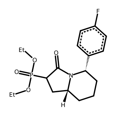 CCOP(=O)(OCC)C1C[C@H]2CCC[C@@H](c3ccc(F)cc3)N2C1=O